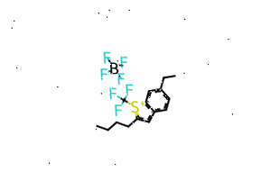 CCCCc1cc2ccc(CC)cc2[s+]1C(F)(F)F.F[B-](F)(F)F